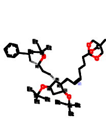 CC[Si](CC)(CC)O[C@@H](CCc1ccccc1)CC[C@@H]1[C@@H](C/C=C\CCCC23OCC(C)(CO2)CO3)[C@@H](O[Si](CC)(CC)CC)C[C@H]1O[Si](CC)(CC)CC